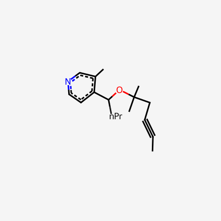 CC#CCC(C)(C)OC(CCC)c1ccncc1C